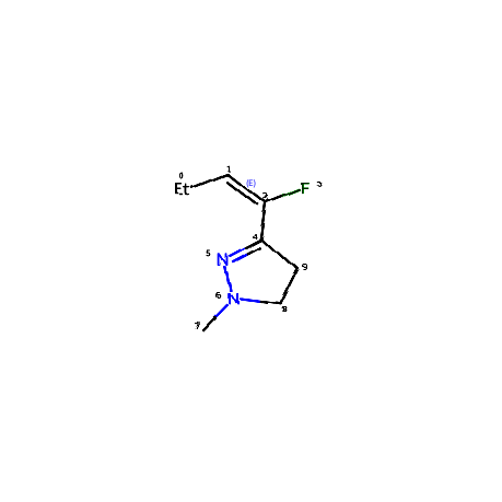 CC/C=C(/F)C1=NN(C)CC1